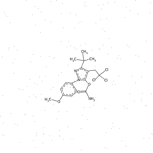 COc1ccc(-n2nc(C(C)(C)C)c(CC(Cl)(Cl)Cl)c2OC(N)=O)cc1